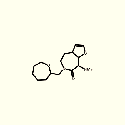 CNC1C(=O)N(CC2CCCCCO2)CCC2C=COC21